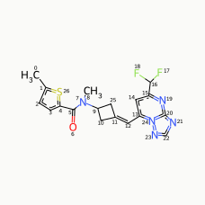 Cc1ccc(C(=O)N(C)C2CC(=Cc3cc(C(F)F)nc4ncnn34)C2)s1